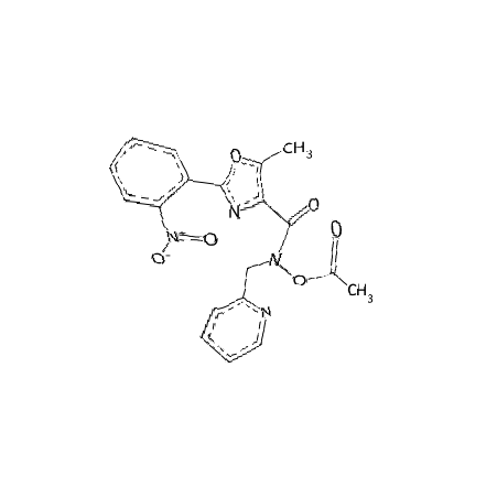 CC(=O)ON(Cc1ccccn1)C(=O)c1nc(-c2ccccc2[N+](=O)[O-])oc1C